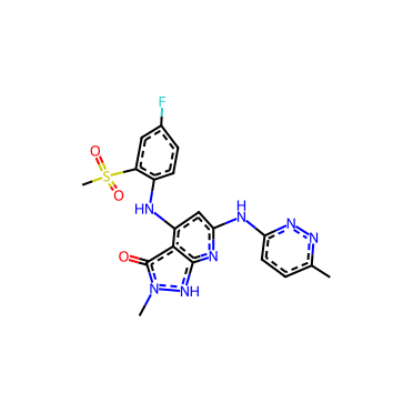 Cc1ccc(Nc2cc(Nc3ccc(F)cc3S(C)(=O)=O)c3c(=O)n(C)[nH]c3n2)nn1